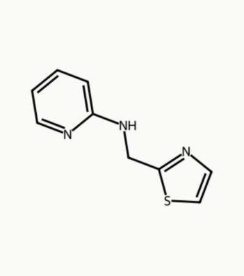 c1ccc(NCc2nccs2)nc1